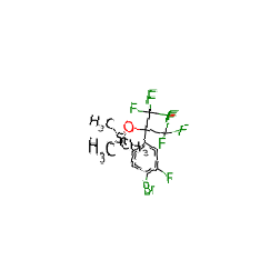 C[Si](C)(C)OC(c1ccc(Br)c(F)c1)(C(F)(F)F)C(F)(F)F